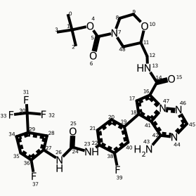 CC(C)(C)OC(=O)N1CCOC(CNC(=O)c2cc(-c3ccc(NC(=O)Nc4cc(C(F)(F)F)ccc4F)c(F)c3)c3c(N)ncnn23)C1